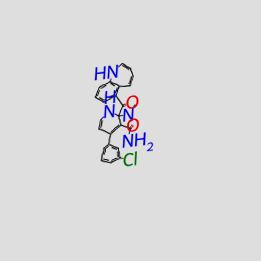 CN(C)C1(C(=O)c2cccc3c2C=CC=CN3)NC=CC(c2cccc(Cl)c2)=C1C(N)=O